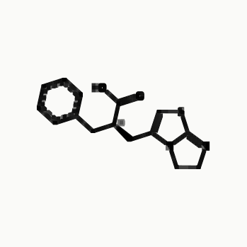 O=C(O)[C@@H](CC1=CSC2=NCCN12)Cc1ccccc1